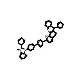 CN1c2ccccc2N(c2ccc(-c3ccc(-c4ccc5ccc6c(-c7ccccc7)c7ccccc7nc6c5n4)cc3)cc2)C1C1C=CC=CC1